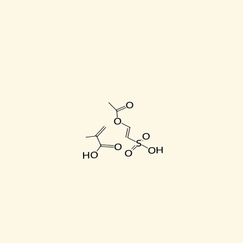 C=C(C)C(=O)O.CC(=O)OC=CS(=O)(=O)O